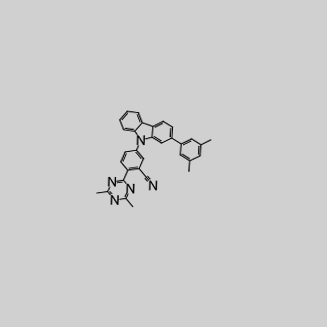 Cc1cc(C)cc(-c2ccc3c4ccccc4n(-c4ccc(-c5nc(C)nc(C)n5)c(C#N)c4)c3c2)c1